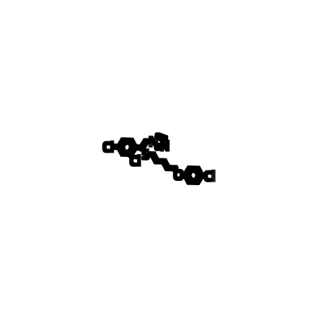 Clc1ccc(OCCCCCSC(Cn2ccnc2)c2ccc(Cl)cc2Cl)cc1